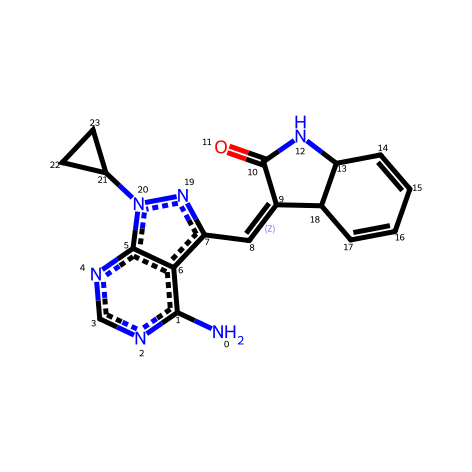 Nc1ncnc2c1c(/C=C1\C(=O)NC3C=CC=CC13)nn2C1CC1